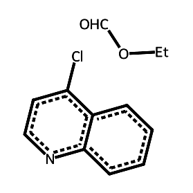 CCOC=O.Clc1ccnc2ccccc12